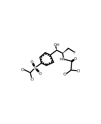 O=C(N[C@H](CF)[C@H](O)c1ccc(S(=O)(=O)C(Cl)Cl)cc1)C(Cl)Cl